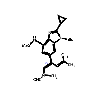 CCCCn1c(C2CC2)nc2c(NSC)cc(/C(C=C(C)C)=C/N(C)C=O)cc21